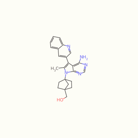 Cc1c(-c2cnc3ccccc3c2)c2c(N)ncnc2n1C12CCC(CO)(CC1)C2